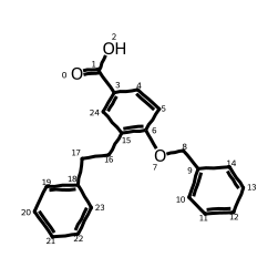 O=C(O)c1ccc(OCc2ccccc2)c(CCc2ccccc2)c1